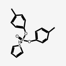 Cc1ccc(OP(=O)(Oc2ccc(C)cc2)[SH]2C=CC=C2)cc1